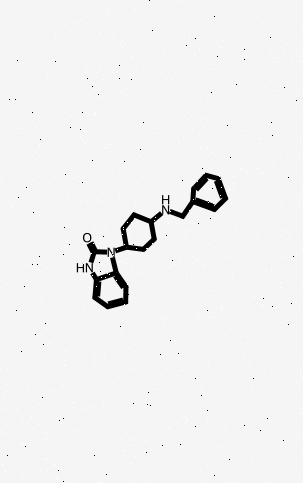 O=c1[nH]c2ccccc2n1C1CCC(NCc2ccccc2)CC1